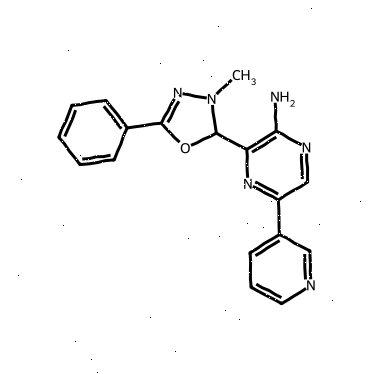 CN1N=C(c2ccccc2)OC1c1nc(-c2cccnc2)cnc1N